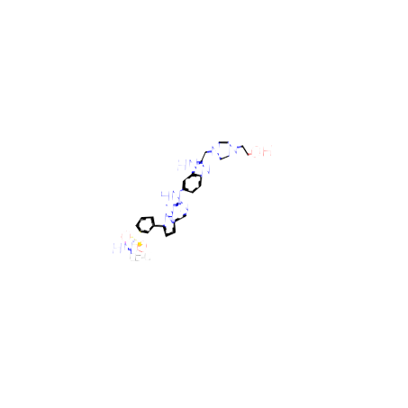 CC(C)(C)NS(=O)(=O)c1cccc(-c2ccc3cnc(Nc4ccc5nc(CN6CCN(CCO)CC6)[nH]c5c4)nn23)c1